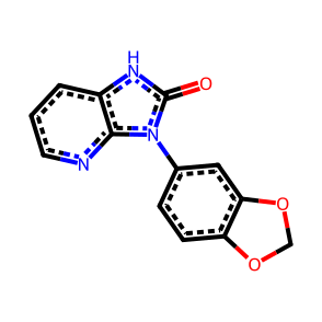 O=c1[nH]c2cccnc2n1-c1ccc2c(c1)OCO2